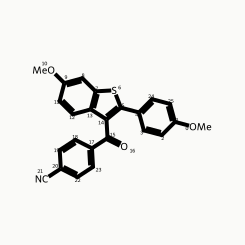 COc1ccc(-c2sc3cc(OC)ccc3c2C(=O)c2ccc(C#N)cc2)cc1